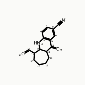 N#Cc1ccc2c(c1)C(=O)C1CCCCC(C=O)C1N2